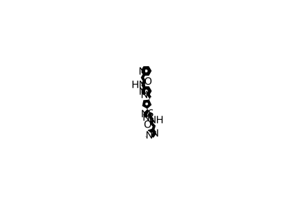 Cn1cnc(CC(=O)Nc2nnc([C@@H]3CC[C@H](Cc4ccc(NC(=O)Cc5ccccn5)nn4)C3)s2)c1